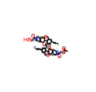 CC#Cc1cc(C)c(C2C(=O)CC3(CCN(C(=O)CO)CC3)CC2=O)c(CCc2cc(C#CC)cc(C)c2C2C(=O)CC3(CCN(C(=O)COC(C)=O)CC3)CC2=O)c1